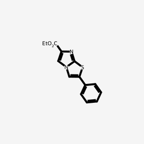 CCOC(=O)c1cn2cc(-c3ccccc3)sc2n1